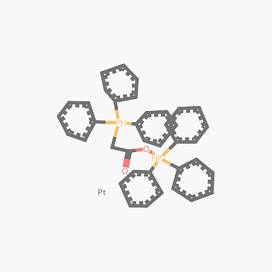 O=C(C[PH](c1ccccc1)(c1ccccc1)c1ccccc1)O[PH](c1ccccc1)(c1ccccc1)c1ccccc1.[Pt]